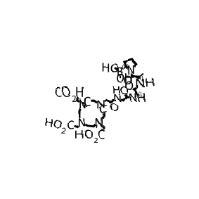 C[C@H](NC(=O)CNC(=O)CN1CCN(CC(=O)O)CCN(CC(=O)O)CCN(CC(=O)O)CC1)C(=O)N[C@H](C)C(=O)N1CCC[C@H]1B(O)O